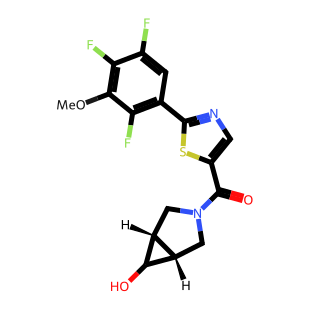 COc1c(F)c(F)cc(-c2ncc(C(=O)N3C[C@@H]4C(O)[C@@H]4C3)s2)c1F